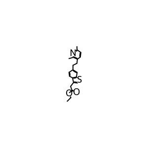 CCOC(=O)Cc1csc2cc(CCc3ccc(C)nc3C)ccc12